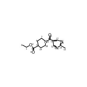 CCOC(=O)C1CCN(C(=O)c2cnc(C)nc2)CC1